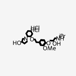 COc1cc(CCO[C@@H]2CCCC[C@@H]2N2CCC(O)C2)ccc1OC[C@H](O)CNC(C)C.Cl.Cl